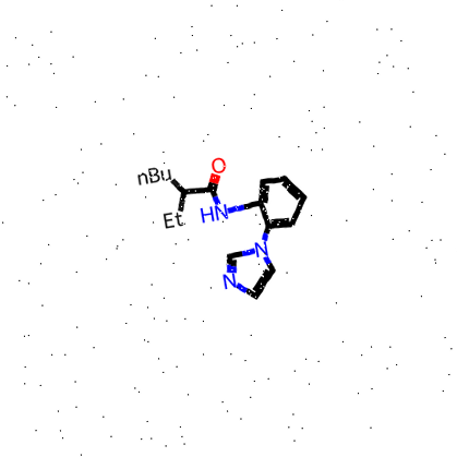 CCCCC(CC)C(=O)Nc1ccccc1-n1ccnc1